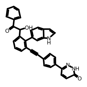 O=C(c1ccccc1)C(O)c1cccc(C#Cc2ccc(-c3ccc(=O)[nH]n3)cc2)c1-c1ccc2cc[nH]c2c1